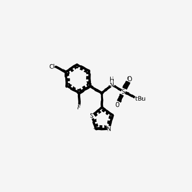 CC(C)(C)S(=O)(=O)NC(c1cn[c]s1)c1ccc(Cl)cc1F